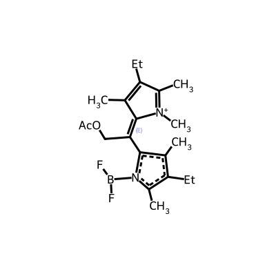 CCC1=C(C)/C(=C(\COC(C)=O)c2c(C)c(CC)c(C)n2B(F)F)[N+](C)=C1C